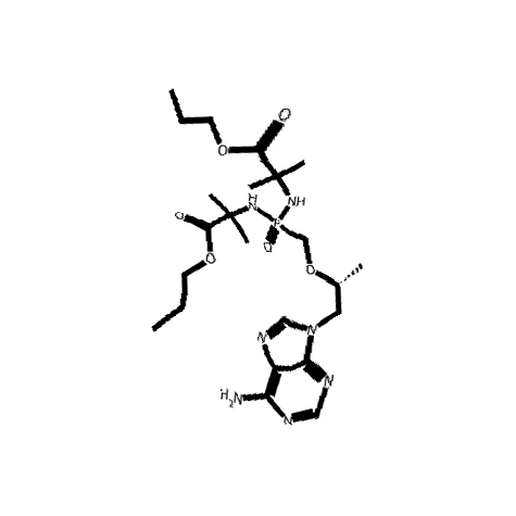 CCCOC(=O)C(C)(C)NP(=O)(CO[C@H](C)Cn1cnc2c(N)ncnc21)NC(C)(C)C(=O)OCCC